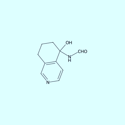 O=CNC1(O)CCCc2cnccc21